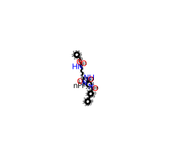 CCCN1C(=O)[C@H](CCCCNC(=O)OCc2ccccc2)NC(=O)C12CCN(C(=O)c1ccc(-c3ccccc3)cc1)CC2